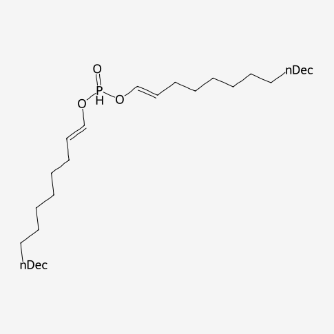 CCCCCCCCCCCCCCCCC=CO[PH](=O)OC=CCCCCCCCCCCCCCCCC